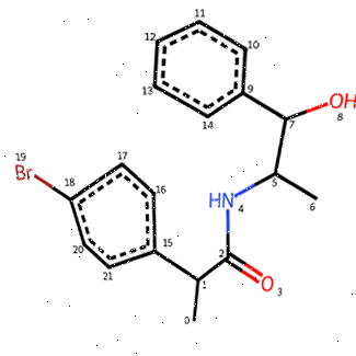 CC(C(=O)NC(C)C(O)c1ccccc1)c1ccc(Br)cc1